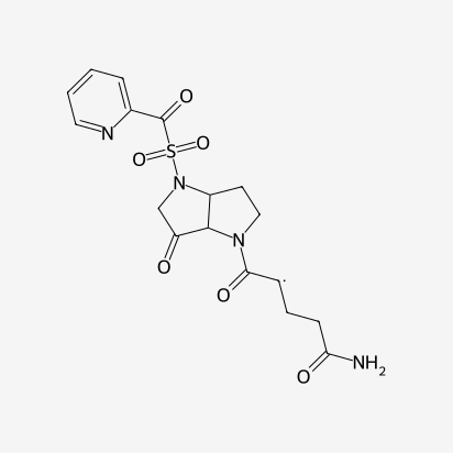 NC(=O)CC[CH]C(=O)N1CCC2C1C(=O)CN2S(=O)(=O)C(=O)c1ccccn1